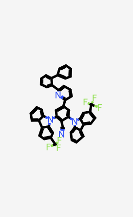 N#Cc1c(-n2c3ccccc3c3ccc(C(F)(F)F)cc32)cc(-c2cccc(-c3ccccc3-c3ccccc3)n2)cc1-n1c2ccccc2c2ccc(C(F)(F)F)cc21